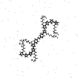 CCCCCCc1cc(-c2cc(CCCCCC)c(-c3ccc(-c4ccc(-c5sccc5CCCCCC)s4)s3)s2)sc1-c1ccc(/C=C/c2ccc(-c3sc(-c4cc(CCCCCC)c(-c5ccc(-c6ccc(-c7sccc7CCCCCC)s6)s5)s4)cc3CCCCCC)cc2)cc1